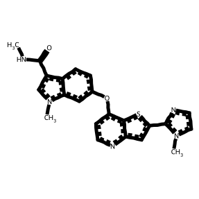 CNC(=O)c1cn(C)c2cc(Oc3ccnc4cc(-c5nccn5C)sc34)ccc12